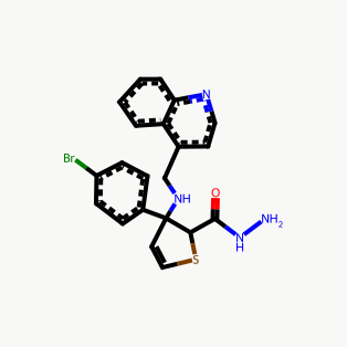 NNC(=O)C1SC=CC1(NCc1ccnc2ccccc12)c1ccc(Br)cc1